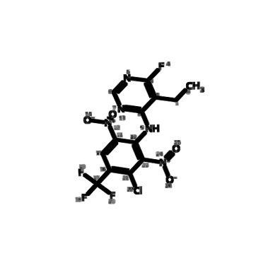 CCc1c(F)ncnc1Nc1c([N+](=O)[O-])cc(C(F)(F)F)c(Cl)c1[N+](=O)[O-]